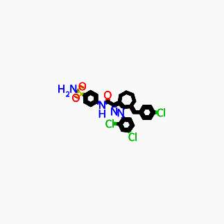 NS(=O)(=O)c1ccc(NC(=O)c2nn(-c3ccc(Cl)cc3Cl)c3c2CCCC/C3=C\c2ccc(Cl)cc2)cc1